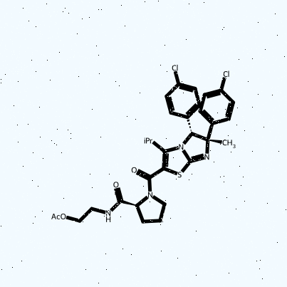 CC(=O)OCCNC(=O)[C@@H]1CCCN1C(=O)C1=C(C(C)C)N2C(=N[C@@](C)(c3ccc(Cl)cc3)[C@H]2c2ccc(Cl)cc2)S1